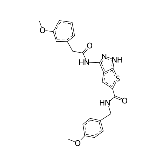 COc1ccc(CNC(=O)c2cc3c(NC(=O)Cc4cccc(OC)c4)n[nH]c3s2)cc1